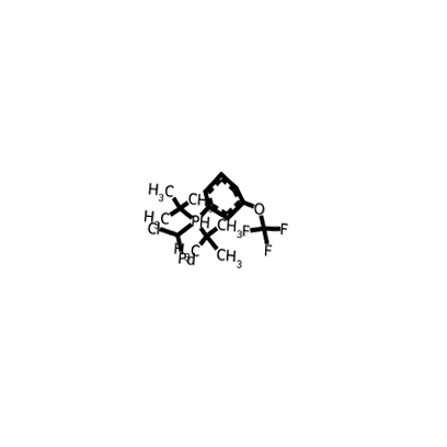 CC(C)(C)[PH](c1cccc(OC(F)(F)F)c1)([CH](Cl)[Pd])C(C)(C)C